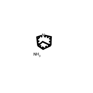 N.c1ncc2cc1C2